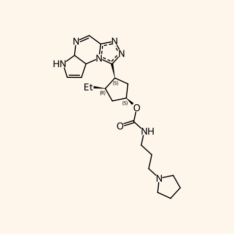 CC[C@@H]1C[C@H](OC(=O)NCCCN2CCCC2)C[C@@H]1c1nnc2n1C1C=CNC1N=C2